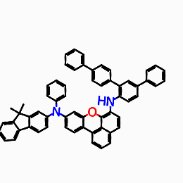 CC1(C)c2ccccc2-c2ccc(N(c3ccccc3)c3ccc4c(c3)Oc3c(Nc5ccc(-c6ccccc6)cc5-c5ccc(-c6ccccc6)cc5)ccc5cccc-4c35)cc21